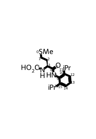 CSCC[C@H](NC(=O)O)C(=O)Nc1c(C(C)C)cccc1C(C)C